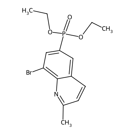 CCOP(=O)(OCC)c1cc(Br)c2nc(C)ccc2c1